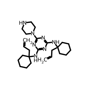 C=CCC1(Nc2nc(NC3(CC=C)CCCCC3)nc(N3CCNCC3)n2)CCCCC1